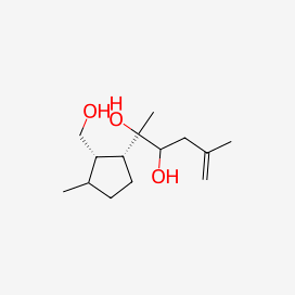 C=C(C)CC(O)C(C)(O)[C@@H]1CCC(C)[C@@H]1CO